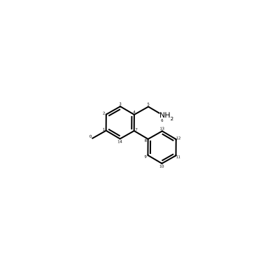 Cc1ccc(CN)c(-c2ccccc2)c1